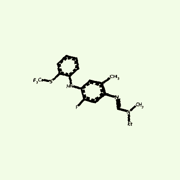 CCN(C)C=Nc1cc(F)c(Nc2ccccc2SC(F)(F)F)cc1C